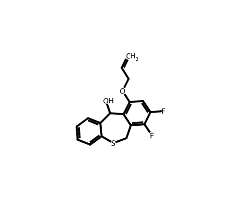 C=CCOc1cc(F)c(F)c2c1C(O)c1ccccc1SC2